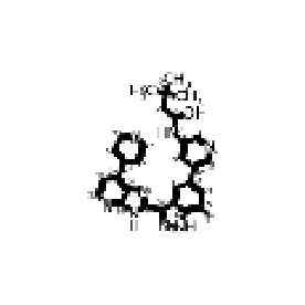 CC(C)(C)CC(O)Nc1cncc(-c2cc(F)c3[nH]nc(-c4nc5c(-c6ccncc6)ccnc5[nH]4)c3c2)c1